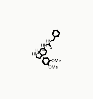 COc1ccc([C@]23CCN[C@H]2C[C@H](NC(=S)NCc2ccccc2)CC3)cc1OC